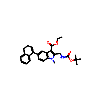 CCOC(=O)c1c(CNC(=O)OC(C)(C)C)n(C)c2ccc(C3=CCCc4ccccc43)cc12